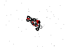 O=C(c1ccccc1)N(Cc1ccccc1)c1ccc(F)[c]([Ti]([C]2=CC=CC2)([C]2=CC=CC2)[c]2c(F)ccc(N(Cc3ccccc3)C(=O)c3ccccc3)c2F)c1F